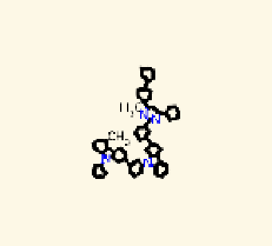 CC1CC=CC2C1c1ccc(-c3cccc(-n4c5ccccc5c5ccc(-c6cccc(-c7nc(-c8ccccc8)cc(C8(C)C=CC(c9ccccc9)=CC8)n7)c6)cc54)c3)cc1N2c1ccccc1